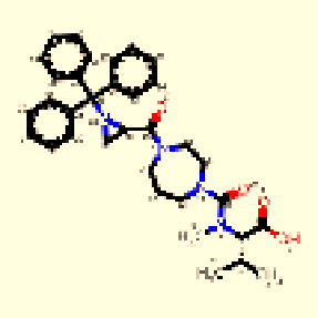 CC(C)[C@@H](C(=O)O)N(C)C(=O)N1CCCN(C(=O)[C@H]2CN2C(c2ccccc2)(c2ccccc2)c2ccccc2)CC1